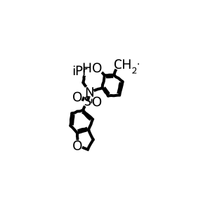 [CH2]c1cccc(N(CC(C)C)S(=O)(=O)c2ccc3c(c2)CCO3)c1O